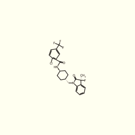 C[C@@]1(F)C(=O)N(C[C@H]2CC[C@H](NC(=O)c3cc(C(F)(F)F)ccc3Cl)CC2)c2ccccc21